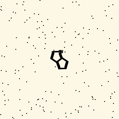 [C]1=CC2=CC=C[C]2=[Sb]1